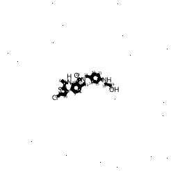 C=C(Nc1cccc2c1C(=O)N(Cc1ccc(NCCO)cc1)C2)c1ccc(Cl)s1